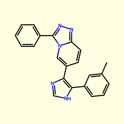 Cc1cccc(-c2[nH]cnc2-c2ccc3nnc(-c4ccccc4)n3c2)c1